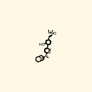 CN=S(C)(=O)/C=C/c1ccc(-c2ccc(N(C)C3CC4CCCC(C3)N4)nn2)c(O)c1